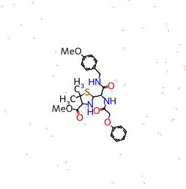 COC(=O)C1NC([C@H](NC(=O)COc2ccccc2)C(=O)NCc2ccc(OC)cc2)SC1(C)C